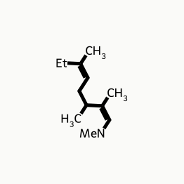 CC/C(C)=C\CC(C)/C(C)=C\NC